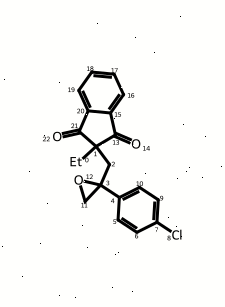 CCC1(CC2(c3ccc(Cl)cc3)CO2)C(=O)c2ccccc2C1=O